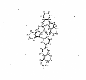 c1ccc2c(c1)ccc1cc(-c3ccc(N(c4cccc5c4sc4ccccc45)c4cccc5oc6c7ccccc7ccc6c45)cc3)ccc12